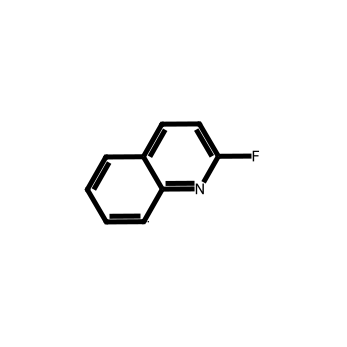 Fc1ccc2ccc[c]c2n1